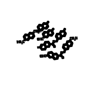 Cc1ccc2cc(C)ccc2c1.Cc1ccc2cc(C=O)ccc2c1.Cc1ccc2cc(COC(=O)c3ccc4cc(C)ccc4c3)ccc2c1.O=C(O)c1ccc2cc(C(=O)O)ccc2c1.O=Cc1ccc2cc(C(=O)OCc3ccc4cc(C(=O)O)ccc4c3)ccc2c1